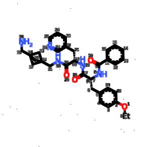 CCOc1ccc(C[C@@H](NC(=O)c2ccccc2)C(=O)N[C@@H](Cc2cccnc2)C(=O)NCC23CC(CN)(C2)C3)cc1